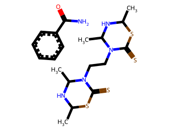 CC1NC(C)N(CCN2C(=S)SC(C)NC2C)C(=S)S1.NC(=O)c1ccccc1